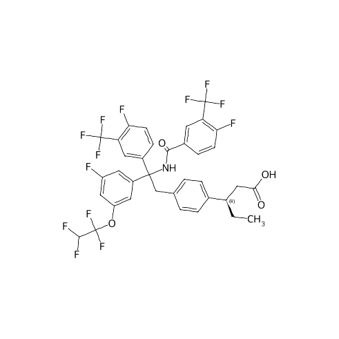 CC[C@H](CC(=O)O)c1ccc(CC(NC(=O)c2ccc(F)c(C(F)(F)F)c2)(c2cc(F)cc(OC(F)(F)C(F)F)c2)c2ccc(F)c(C(F)(F)F)c2)cc1